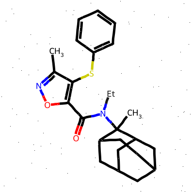 CCN(C(=O)c1onc(C)c1Sc1ccccc1)C1(C)C2CC3CC(C2)CC1C3